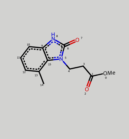 COC(=O)CCn1c(=O)[nH]c2cccc(C)c21